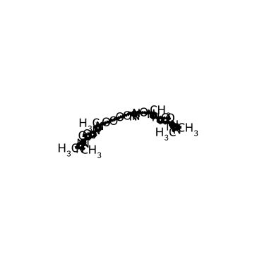 Cc1cn2cc(-c3cc4ccc(N5CCN(CCOCCOCCOCCOCc6cn(CCOCCN7CCN(c8ccc9cc(-c%10cn%11cc(C)nc(C)c%11n%10)c(=O)oc9c8)C[C@@H]7C)nn6)[C@@H](C)C5)cc4oc3=O)nc2c(C)n1